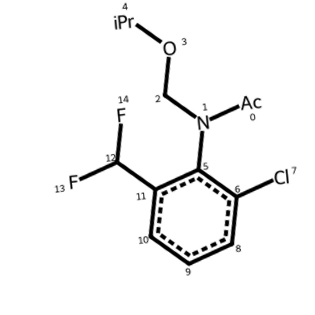 CC(=O)N(COC(C)C)c1c(Cl)cccc1C(F)F